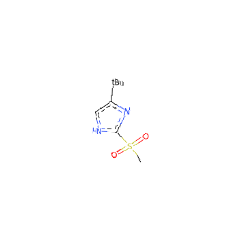 CC(C)(C)c1c[nH]c(S(C)(=O)=O)n1